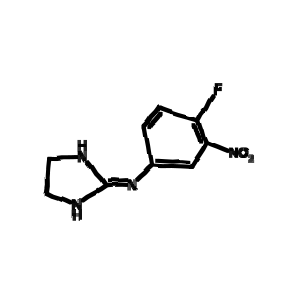 O=[N+]([O-])c1cc(N=C2NCCN2)ccc1F